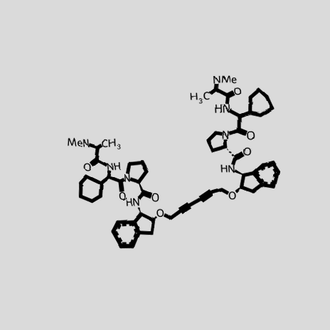 CNC(C)C(=O)NC(C(=O)N1CCC[C@H]1C(=O)N[C@H]1c2ccccc2C[C@H]1OCC#CC#CCO[C@@H]1Cc2ccccc2[C@@H]1NC(=O)[C@@H]1CCCN1C(=O)C(NC(=O)C(C)NC)C1CCCCC1)C1CCCCC1